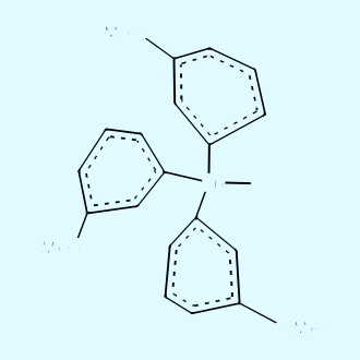 COc1ccc[c]([Sn]([I])([c]2cccc(OC)c2)[c]2cccc(OC)c2)c1